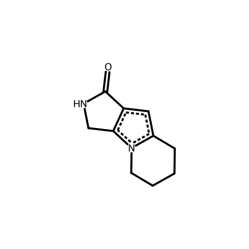 O=C1NCc2c1cc1n2CCCC1